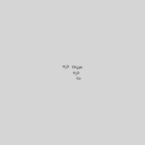 C.O.O.[Co].[LiH]